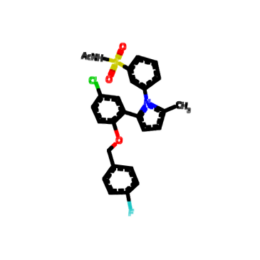 CC(=O)NS(=O)(=O)c1cccc(-n2c(C)ccc2-c2cc(Cl)ccc2OCc2ccc(F)cc2)c1